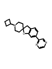 c1cnc(-c2ccc3c(c2)OC2(CCN(C4CCC4)CC2)C3)cn1